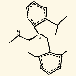 CNC[C@H](Cc1c(C)cccc1C)c1ncccc1C(C)C